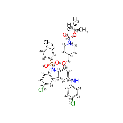 Cc1ccc(S(=O)(=O)n2c3ccc(Cl)cc3c3cc(Nc4ccc(Cl)cc4)cc(OCC4CCN(C(=O)OC(C)(C)C)CC4)c32)cc1